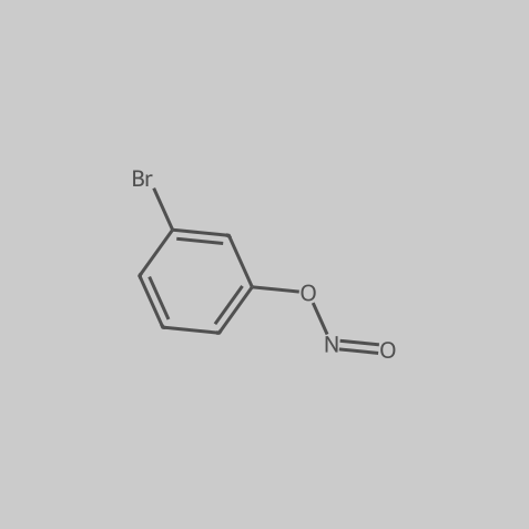 O=NOc1cccc(Br)c1